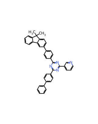 CC1(C)c2ccccc2-c2cc(-c3ccc(-c4nc(-c5ccc(-c6ccccc6)cc5)nc(-c5cccnc5)n4)cc3)ccc21